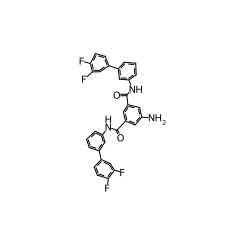 Nc1cc(C(=O)Nc2cccc(-c3ccc(F)c(F)c3)c2)cc(C(=O)Nc2cccc(-c3ccc(F)c(F)c3)c2)c1